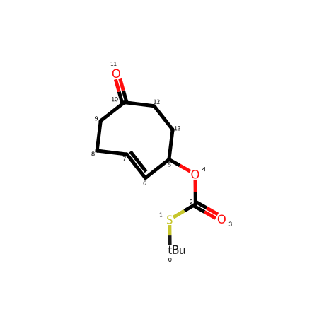 CC(C)(C)SC(=O)OC1/C=C/CCC(=O)CC1